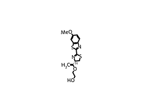 C=C(OCCO)[C@H]1CSC(c2nc3ccc(OC)cc3s2)=N1